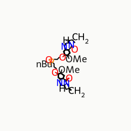 C=C1C[C@H]2C=Nc3cc(OCCCP(=O)(CCCC)CCCOc4cc5c(cc4OC)C(=O)N4CC(=C)C[C@H]4C=N5)c(OC)cc3C(=O)N2C1